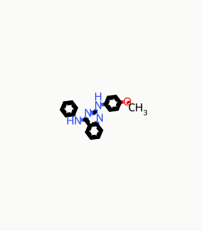 COc1ccc(Nc2nc(Nc3ccccc3)c3ccccc3n2)cc1